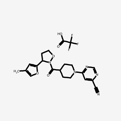 Cc1coc(C2CCON2C(=O)C2CCN(c3cc(C#N)ncn3)CC2)c1.O=C(O)C(F)(F)F